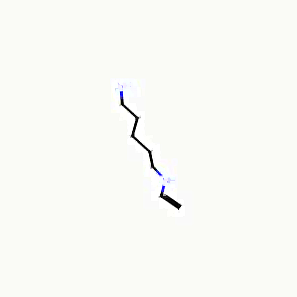 C=CNCCCCCN